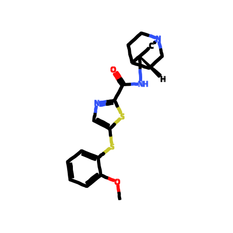 COc1ccccc1Sc1cnc(C(=O)N[C@H]2CN3CCC2CC3)s1